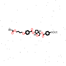 CCCCCCCCc1ccc(C(=O)O[C@@H]2CO[C@H]3[C@@H]2CC[C@@H]3OC(=O)c2ccc(OCCCCOC(=O)C(C)CC)cc2)cc1